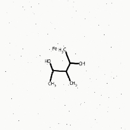 CC(O)C(C)C(C)O.[Fe]